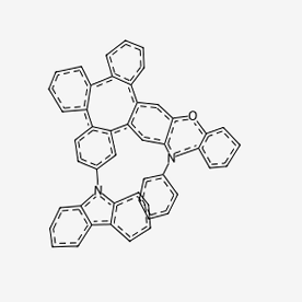 c1ccc(-n2c3ccccc3oc3cc4c5ccccc5c5ccccc5c5ccc(-n6c7ccccc7c7ccccc76)cc5c4cc32)cc1